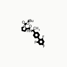 CC(NC(=O)C1CCCN1C(=O)OC(C)(C)C)c1ccc(-c2c(F)cc(F)cc2F)cc1